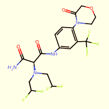 NC(=O)[C@@H](C(=O)Nc1ccc(N2CCOCC2=O)c(C(F)(F)F)c1)N(CC(F)F)CC(F)F